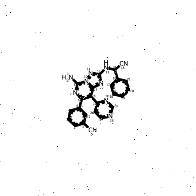 N#Cc1cccc(-c2nc(N)n3nc(NC(C#N)c4ccccc4)nc3c2-c2ccncn2)c1